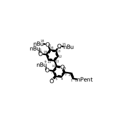 CCCCC/C=C/c1cc(=O)c(OCCCC)c(-c2cc(OCCCC)c(OCCCC)c(OCCCC)c2)o1